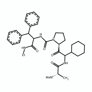 CCNC(=O)C(NC(=O)N1CCC[C@H]1C(=O)C(NC(=O)[C@H](C)NC)C1CCCCC1)C(c1ccccc1)c1ccccc1